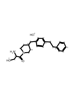 Cl.NC(CO)C(=O)N1CCC(Cc2ccc(CCc3ccccc3)cc2)CC1